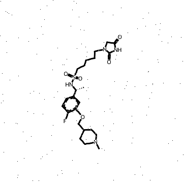 C[C@@H](NS(=O)(=O)CCCCCN1CC(=O)NC1=O)c1ccc(F)c(OCC2CCN(C)CC2)c1